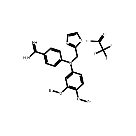 CCOc1cc(N(Cc2nccs2)c2ccc(C(=N)N)cc2)ccc1OC(C)C.O=C(O)C(F)(F)F